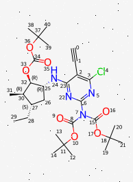 C#Cc1c(Cl)nc(N(C(=O)OC(C)(C)C)C(=O)OC(C)(C)C)nc1N[C@@H]1C[C@H](CC)[C@@H](C)[C@H]1OC(=O)OC(C)(C)C